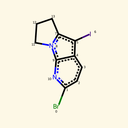 Brc1ccc2c(I)c3n(c2n1)CCC3